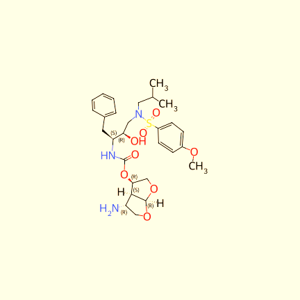 COc1ccc(S(=O)(=O)N(CC(C)C)C[C@@H](O)[C@H](Cc2ccccc2)NC(=O)O[C@H]2CO[C@H]3OC[C@H](N)[C@H]32)cc1